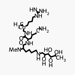 CNC(CCCCNCC(O)[C@H](O)[C@H](O)C(C)O)C(=O)NC(CCCCN)C(=O)N[CH2][Co]([CH3])[CH2]CCCNC(=N)N